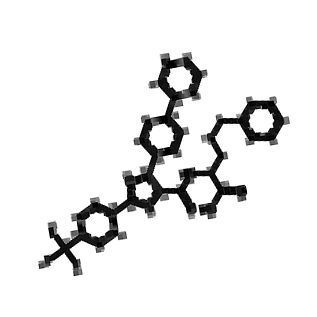 O=C(NC(CSCc1ccccc1)C(=O)O)c1nc(-c2ccc(C(F)(F)F)cc2)oc1-c1ccc(-c2cccnc2)cc1